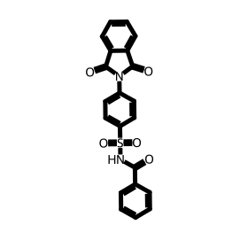 O=C(NS(=O)(=O)c1ccc(N2C(=O)c3ccccc3C2=O)cc1)c1ccccc1